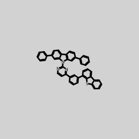 c1ccc(-c2ccc3c4ccc(-c5ccccc5)cc4n(-c4nccc(-c5cccc(-c6cccc7c6sc6ccccc67)c5)n4)c3c2)cc1